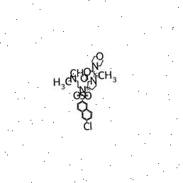 C[C@@H](C(=O)N1CCOCC1)N1CC[C@H](N(CCN(C)C)S(=O)(=O)c2ccc3cc(Cl)ccc3c2)C1=O